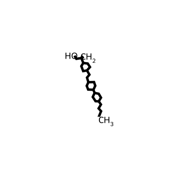 C=C(CO)C1CCC(CCC2CCC(C3CCC(CCCCC)CC3)CC2)CC1